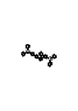 c1ccc(-c2cc(-c3ccc(-c4ccc(-c5ccccc5-c5ccccc5-c5ccc(-c6nc(-c7ccccc7)nc(-c7ccccc7)n6)cc5)cc4)cc3)nc(-c3ccccc3)n2)cc1